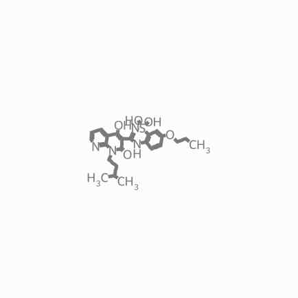 CCCOc1ccc2c(c1)S(O)(O)N=C(c1c(O)c3cccnc3n(CCC(C)C)c1=O)N2